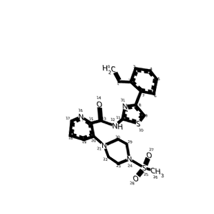 C=Cc1ccccc1-c1csc(NC(=O)c2ncccc2N2CCN(S(C)(=O)=O)CC2)n1